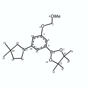 COCOc1cc(B2OC(C)(C)C(C)(C)O2)cc(N2CCC(C)(C)C2)c1